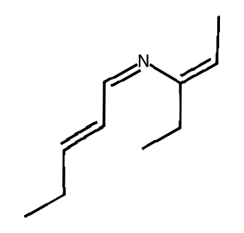 C\C=C(CC)/N=C\C=C\CC